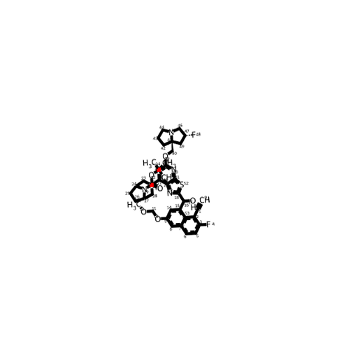 C#Cc1c(F)ccc2cc(OCOC)cc(C(O)c3nc4c(N5CC6CCC(C5)N6C(=O)OC(C)(C)C)nc(OC[C@@]56CCCN5C[C@H](F)C6)nc4s3)c12